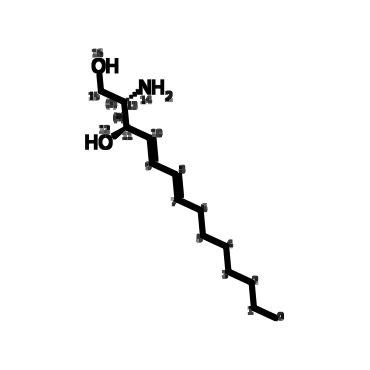 CCCCCCCC=CC=C[C@@H](O)[C@@H](N)CO